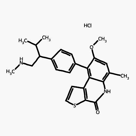 CNCC(c1ccc(-c2c(OC)cc(C)c3[nH]c(=O)c4sccc4c23)cc1)C(C)C.Cl